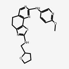 COc1ccc(Nc2ncc3c(n2)-c2sc(NCC4CCCO4)nc2CC3)cn1